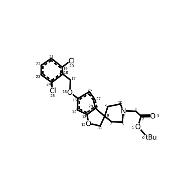 CC(C)(C)OC(=O)CN1CCC2(CC1)COc1cc(OCc3c(Cl)cccc3Cl)ccc12